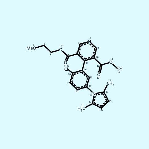 COCCOC(=O)c1cncc(C(=O)OC(C)C)c1-c1cc(-n2c(C)ccc2C)ccc1Cl